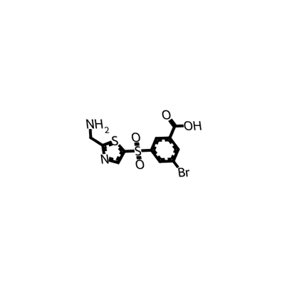 NCc1ncc(S(=O)(=O)c2cc(Br)cc(C(=O)O)c2)s1